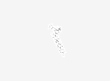 O=S(=O)(c1ccc(N2CCNCC2)nc1)N1CCC(Nc2ncc(C(F)(F)F)c(O[C@H]3CCOC3)n2)CC1